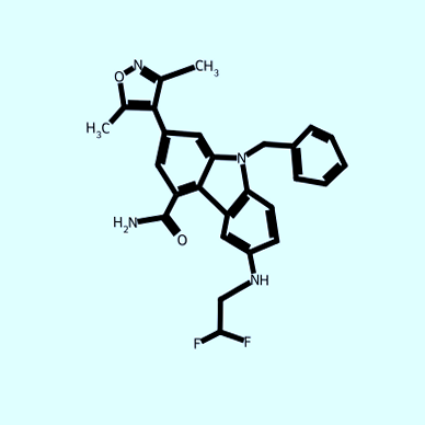 Cc1noc(C)c1-c1cc(C(N)=O)c2c3cc(NCC(F)F)ccc3n(Cc3ccccc3)c2c1